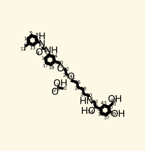 CC(=O)O.O=C(Nc1cccc(I)c1)Nc1cccc(COCCOCCCCCCNC[C@H](O)c2ccc(O)c(CO)c2)c1